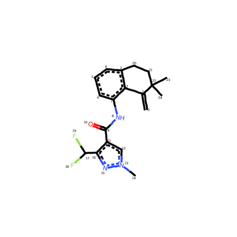 C=C1c2c(cccc2NC(=O)c2cn(C)nc2C(F)F)CCC1(C)C